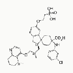 C[C@@H](COc1ccnc2c1[C@H](C)CCC2)C[C@H]1Cc2ccc(OCCP(=O)(O)O)cc2C12CCC(Nc1cccc(Cl)c1)(C(=O)O)CC2